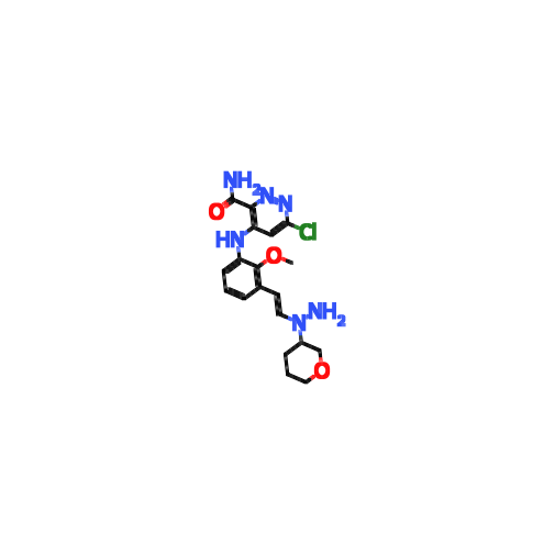 COc1c(/C=C/N(N)C2CCCOC2)cccc1Nc1cc(Cl)nnc1C(N)=O